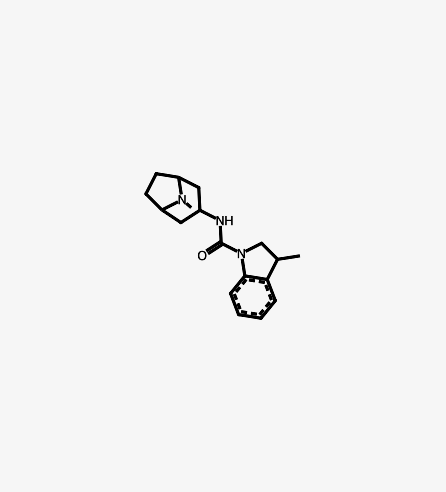 CC1CN(C(=O)NC2CC3CCC(C2)N3C)c2ccccc21